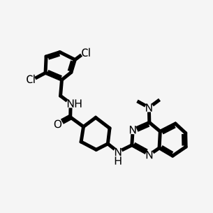 CN(C)c1nc(NC2CCC(C(=O)NCc3cc(Cl)ccc3Cl)CC2)nc2ccccc12